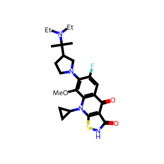 CCN(CC)C(C)(C)C1CCN(c2c(F)cc3c(=O)c4c(=O)[nH]sc4n(C4CC4)c3c2OC)C1